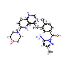 Cc1ccc(C(=O)n2nc(C(C)(C)C)cc2N)cc1Nc1ncnc2ccc(N3CCOCC3)nc12